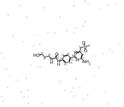 CS(=O)(=O)Cc1cc(N)nc(-c2ccc(NC(=O)NCCCO)cc2)n1